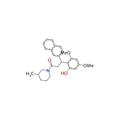 COc1cc(O)c(C(CC(=O)N2CCCC(C)C2)c2ccc3ccccc3c2)c(OC)c1